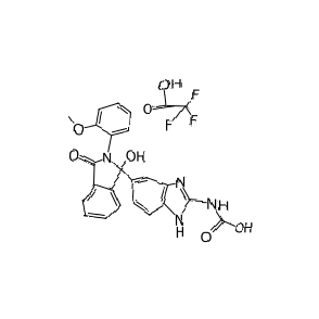 COc1ccccc1N1C(=O)c2ccccc2C1(O)c1ccc2[nH]c(NC(=O)O)nc2c1.O=C(O)C(F)(F)F